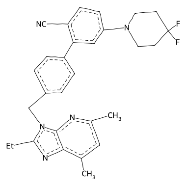 CCc1nc2c(C)cc(C)nc2n1Cc1ccc(-c2cc(N3CCC(F)(F)CC3)ccc2C#N)cc1